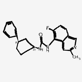 Cc1cc2c(NC(=O)N[C@H]3CC[C@@H](c4ccccc4)C3)c(F)ccc2cn1